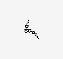 CCCCCc1ccc(-c2ccc(C(C(C)=O)c3ccc(CCCC)cc3)c(C)c2)cc1